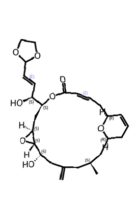 C=C1C[C@H](C)C[C@@H]2CC=C[C@@H](C/C=C\C(=O)O[C@H]([C@@H](O)/C=C/C3OCCO3)C[C@@H]3O[C@H]3[C@@H](O)C1)O2